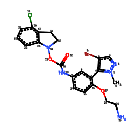 Cn1ncc(Br)c1-c1cc(NC(=O)ON2CCc3c(Cl)cccc32)ccc1OCCN